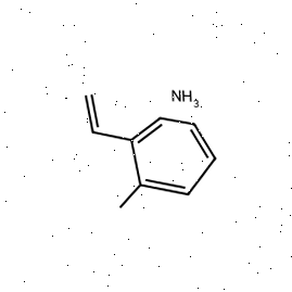 C=Cc1ccccc1C.N